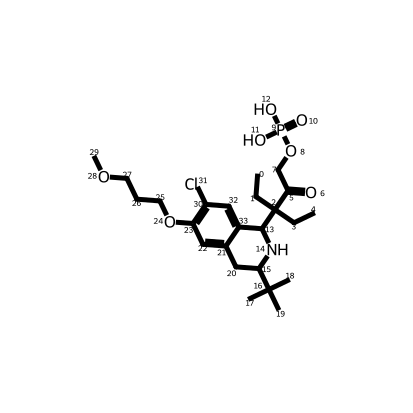 CCC(CC)(C(=O)COP(=O)(O)O)C1NC(C(C)(C)C)Cc2cc(OCCCOC)c(Cl)cc21